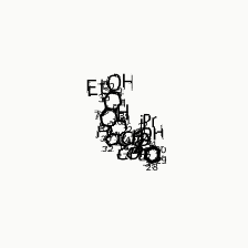 CC[C@]1(O)CC[C@H]2C(=CC[C@@H]3C2CC[C@]2(C)C([C@H](C)C(C[C@H](O)C(C)C)S(=O)(=O)c4ccccc4)CCC32)C1